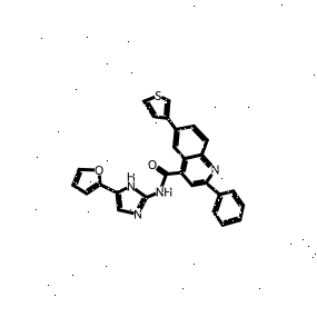 O=C(Nc1ncc(-c2ccco2)[nH]1)c1cc(-c2ccccc2)nc2ccc(-c3ccsc3)cc12